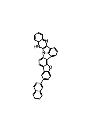 C1=CC2=Nc3c(n4c5ccc6c7cc(-c8ccc9ccccc9c8)ccc7oc6c5c5cccc3c54)NC2C=C1